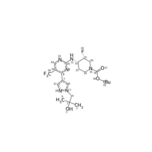 CC(C)(O)Cn1cc(-c2nc(N[C@H]3CCN(C(=O)OC(C)(C)C)C[C@H]3F)ncc2C(F)(F)F)cn1